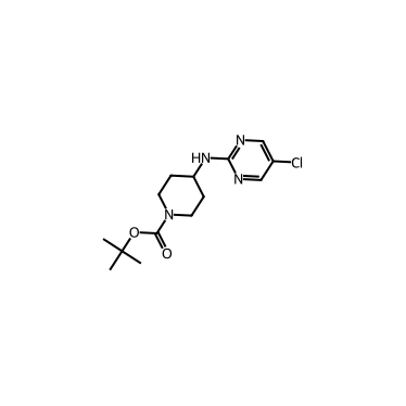 CC(C)(C)OC(=O)N1CCC(Nc2ncc(Cl)cn2)CC1